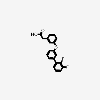 O=C(O)Cc1cccc(Sc2cccc(-c3cccc(F)c3F)c2)c1